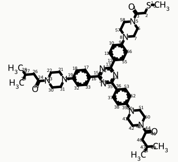 CSCC(=O)N1CCN(c2ccc(-c3nc(-c4ccc(N5CCN(C(=O)CC(C)C)CC5)cc4)nc(-c4ccc(N5CCN(C(=O)CC(C)C)CC5)cc4)n3)cc2)CC1